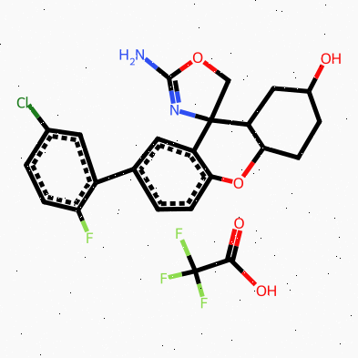 NC1=NC2(CO1)c1cc(-c3cc(Cl)ccc3F)ccc1OC1CCC(O)CC12.O=C(O)C(F)(F)F